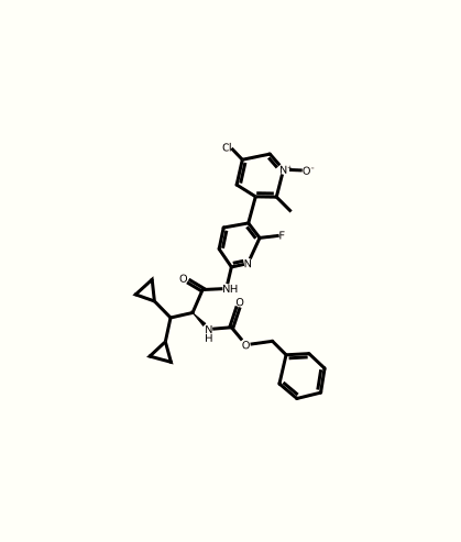 Cc1c(-c2ccc(NC(=O)[C@@H](NC(=O)OCc3ccccc3)C(C3CC3)C3CC3)nc2F)cc(Cl)c[n+]1[O-]